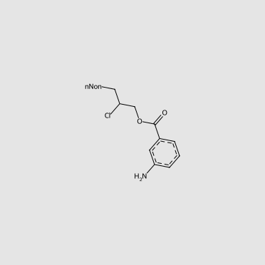 CCCCCCCCCCC(Cl)COC(=O)c1cccc(N)c1